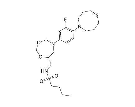 CCCCS(=O)(=O)NC[C@H]1CN(c2ccc(N3CCCSCCC3)c(F)c2)COCO1